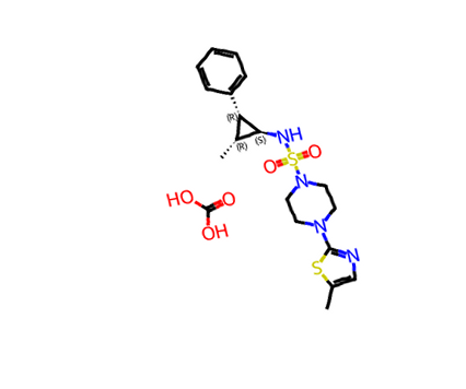 Cc1cnc(N2CCN(S(=O)(=O)N[C@H]3[C@H](C)[C@@H]3c3ccccc3)CC2)s1.O=C(O)O